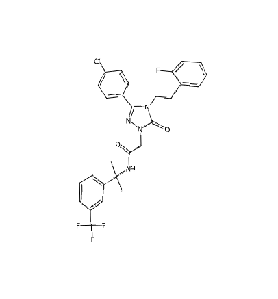 CC(C)(NC(=O)Cn1nc(-c2ccc(Cl)cc2)n(CCc2ccccc2F)c1=O)c1cccc(C(F)(F)F)c1